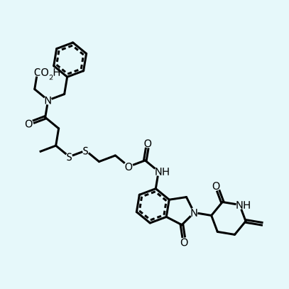 C=C1CCC(N2Cc3c(NC(=O)OCCSSC(C)CC(=O)N(CC(=O)O)Cc4ccccc4)cccc3C2=O)C(=O)N1